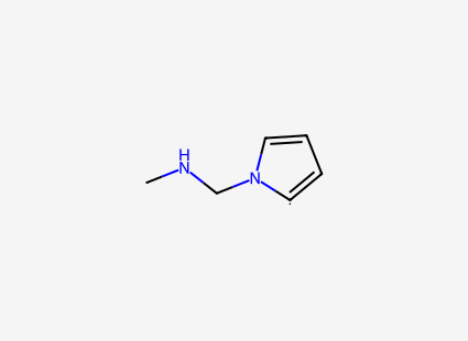 CNCn1[c]ccc1